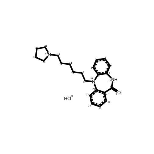 Cl.O=C1Nc2ccccc2N(CCCCCCN2CCCC2)c2ccccc21